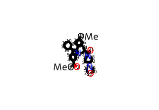 COC(=O)c1ccc2c(C3CCCCC3)c3n(c2c1)CC(C(=O)N1CCC(N2CCOCC2)CC1)=Cc1cc(OC)ccc1-3